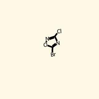 Clc1noc(Br)n1